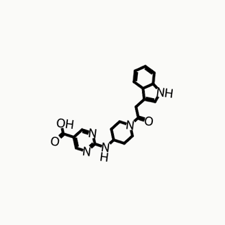 O=C(O)c1cnc(NC2CCN(C(=O)CC3=CNC4C=CC=CC34)CC2)nc1